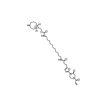 C=CC(=O)N1CCN(c2ccc(CCC(=O)NCCCCCCCCCCCNC(=O)OCC3[C@H]4CCCC(=C)CC[C@@H]34)o2)C(=O)C1